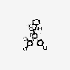 C[C@H]1C(C(=O)N[C@@H]2CCCC[C@H]2O)=NN(c2ccc(Cl)cc2Cl)[C@H]1c1ccc(Cl)cc1